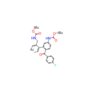 C/C=C(\C(=C/C(C)=O)CNC(=O)OC(C)(C)C)c1cc(NC(=O)OC(C)(C)C)ccc1C(=O)c1ccc(F)cc1